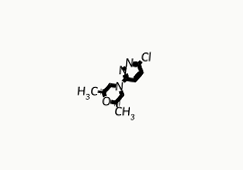 C[C@H]1CN(c2ccc(Cl)nn2)C[C@H](C)O1